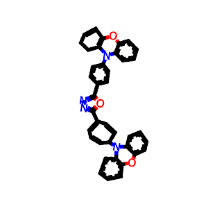 C1=CC(N2c3ccccc3Oc3ccccc32)C=CC(c2nnc(-c3ccc(N4C5=C(C=CCC5)Oc5ccccc54)cc3)o2)=C1